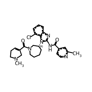 Cc1cc(C(=O)Nc2nc3cccc(Cl)c3n2[C@@H]2CCCCN(C(=O)C3=CCCN(C)C3)C2)ccn1